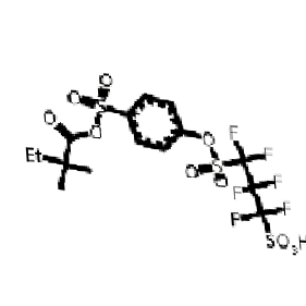 CCC(C)(C)C(=O)OS(=O)(=O)c1ccc(OS(=O)(=O)C(F)(F)C(F)(F)C(F)(F)S(=O)(=O)O)cc1